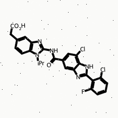 CC(C)n1c(NC(=O)c2cc(Cl)c3[nH]c(-c4c(F)cccc4Cl)nc3c2)nc2cc(CC(=O)O)ccc21